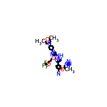 C[C@@H]1CN([C@H]2CC[C@H](n3cc(Nc4ncc(-c5ccc(C#N)c(O[C@@H](C)Cn6cnnn6)c5)cn4)c(OCCCOC(F)(F)F)n3)CC2)C[C@H](C)O1